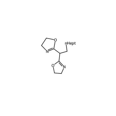 CCCCCCCCC(C1=NCCO1)C1=NCCO1